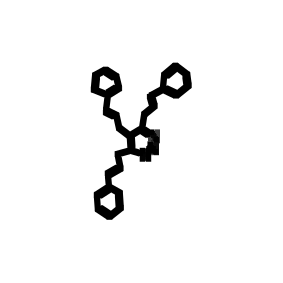 C(=C\c1ccccc1)/Cc1nnnc(C/C=C/c2ccccc2)c1C/C=C/c1ccccc1